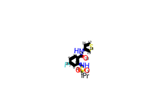 CC(C)S(=O)(=O)Nc1cc(F)ccc1C(=O)Nc1ccsc1